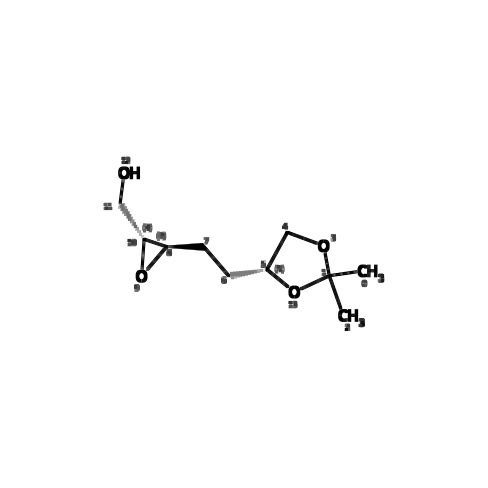 CC1(C)OC[C@@H](CC[C@H]2O[C@@H]2CO)O1